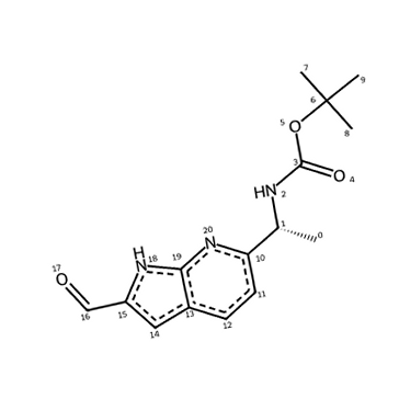 C[C@@H](NC(=O)OC(C)(C)C)c1ccc2cc(C=O)[nH]c2n1